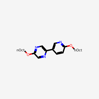 CCCCCCCCOc1ccc(-c2cnc(OCCCCCCCC)cn2)cn1